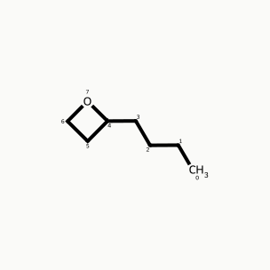 CCCC[C]1CCO1